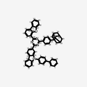 c1ccc(-c2ccc(-n3c4ccccc4c4ccc(-c5nc(-c6ccc(C78CC9CC(CC(C9)C7)C8)cc6)nc(-c6cccc7c6oc6ccccc67)n5)cc43)cc2)cc1